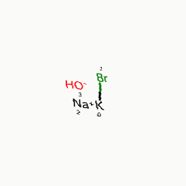 [K][Br].[Na+].[OH-]